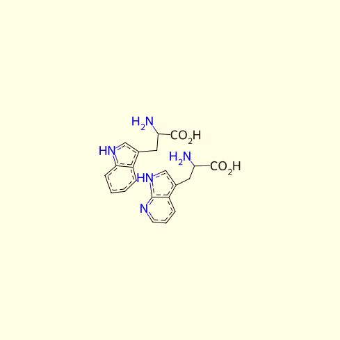 NC(Cc1c[nH]c2ccccc12)C(=O)O.NC(Cc1c[nH]c2ncccc12)C(=O)O